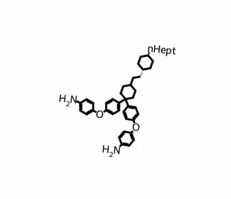 CCCCCCC[C@H]1CC[C@H](CCC2CCC(c3ccc(Oc4ccc(N)cc4)cc3)(c3ccc(Oc4ccc(N)cc4)cc3)CC2)CC1